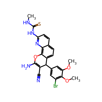 CNC(=S)Nc1ccc2ccc3c(c2n1)OC(N)=C(C#N)C3c1cc(Br)c(OC)c(OC)c1